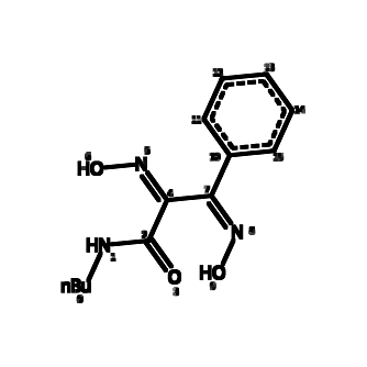 CCCCNC(=O)C(=NO)C(=NO)c1ccccc1